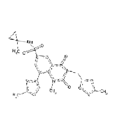 Cc1cc(Cn2c(=O)c3cc(S(=O)(=O)NC4(C)CC4)cc(-c4ccc(C)s4)c3n(C)c2=O)on1